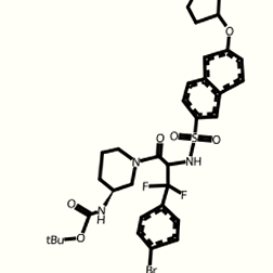 CC(C)(C)OC(=O)N[C@H]1CCCN(C(=O)C(NS(=O)(=O)c2ccc3cc(OC4CCCC4)ccc3c2)C(F)(F)c2ccc(Br)cc2)C1